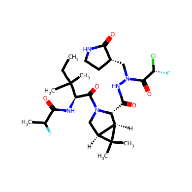 CCC(C)(C)[C@H](NC(=O)C(C)F)C(=O)N1C[C@H]2[C@@H]([C@H]1C(=O)NN(C[C@@H]1CCNC1=O)C(=O)[C@@H](F)Cl)C2(C)C